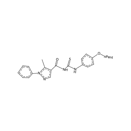 CCCCCOc1ccc(NC(=S)NC(=O)c2cnn(-c3ccccc3)c2C)cc1